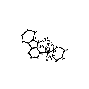 CC1C2CCCCC2C2CCCC(C(C)(C)C3(C)CCCCC3)C12